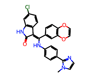 Cn1ccnc1-c1ccc(N/C(=C2\C(=O)Nc3cc(Cl)ccc32)c2ccc3c(c2)OC=CO3)cc1